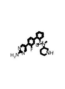 CN(C1CCCNC1)[S+]([O-])c1ccccc1-c1ccc(-c2cnc(N)nc2)c(F)c1